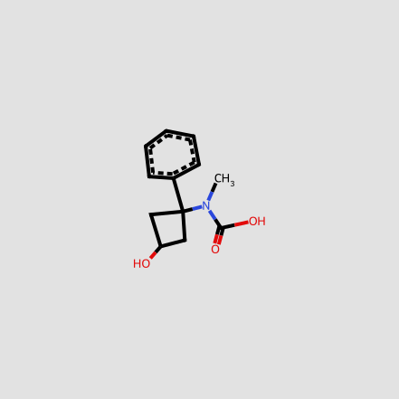 CN(C(=O)O)C1(c2ccccc2)CC(O)C1